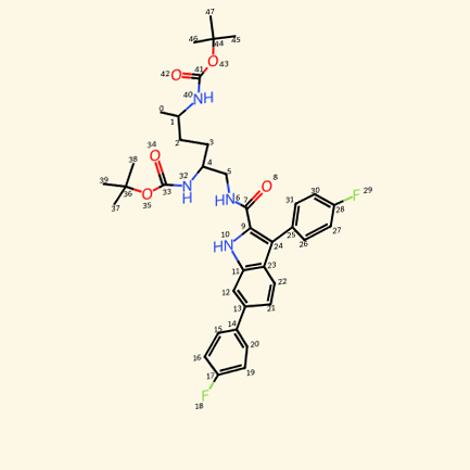 CC(CCC(CNC(=O)c1[nH]c2cc(-c3ccc(F)cc3)ccc2c1-c1ccc(F)cc1)NC(=O)OC(C)(C)C)NC(=O)OC(C)(C)C